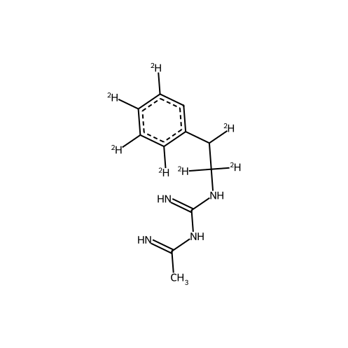 [2H]c1cc(C([2H])C([2H])([2H])NC(=N)NC(C)=N)c([2H])c([2H])c1[2H]